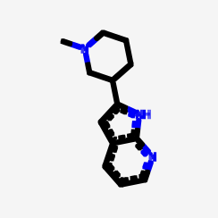 CN1CCCC(c2cc3cccnc3[nH]2)C1